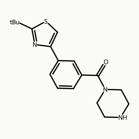 CC(C)(C)c1nc(-c2cccc(C(=O)N3CCNCC3)c2)cs1